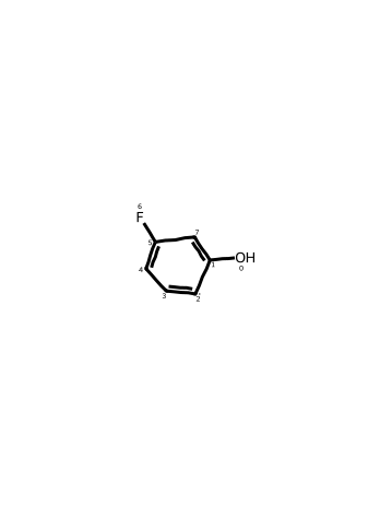 Oc1[c]ccc(F)c1